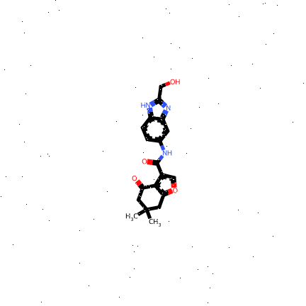 CC1(C)CC(=O)c2c(C(=O)Nc3ccc4[nH]c(CO)nc4c3)coc2C1